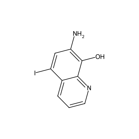 Nc1cc(I)c2cccnc2c1O